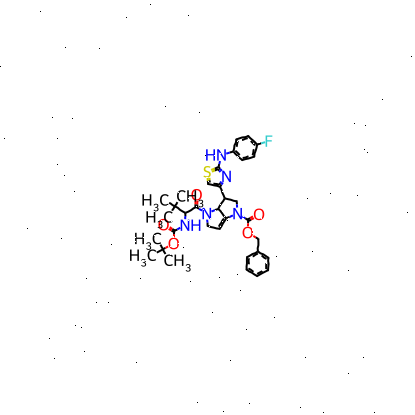 CC(C)(C)OC(=O)NC(C(=O)N1CC=C2C1C(c1csc(Nc3ccc(F)cc3)n1)CN2C(=O)OCc1ccccc1)C(C)(C)C